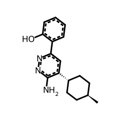 C[C@H]1CC[C@H](c2cc(-c3ccccc3O)nnc2N)CC1